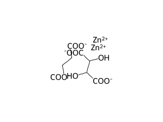 O=C([O-])C(O)C(O)C(=O)[O-].O=C([O-])CCC(=O)[O-].[Zn+2].[Zn+2]